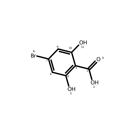 O=C(O)c1c(O)cc(Br)cc1O